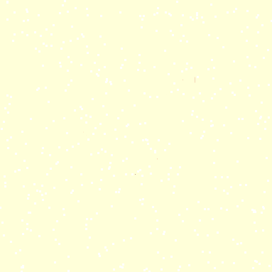 Cc1cc(O)cc2c1C(O)=CC(C)(C)O2